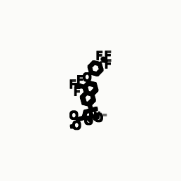 COC(=O)CCC(C)(c1ccc2c(C(F)(F)F)c(O[C@H]3CC[C@@H](C(F)(F)F)CC3)ccc2c1)[N+](=O)[O-]